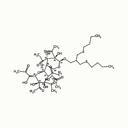 CCCCSCC(CO[C@H]1O[C@H](C(O)C(C)=O)[C@@](O)([C@@H]2O[C@H](C(O)C(C)=O)[C@@](O)(C(C)=O)[C@@](O)(C(C)=O)[C@]2(O)C(C)=O)[C@@](O)(C(C)=O)[C@]1(O)C(C)=O)CSCCCC